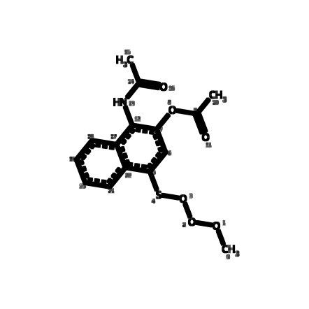 COOOSc1cc(OC(C)=O)c(NC(C)=O)c2ccccc12